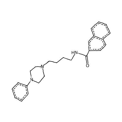 O=C(NCCCCN1CCN(c2ccccc2)CC1)c1ccc2ccccc2c1